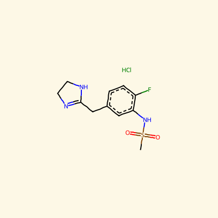 CS(=O)(=O)Nc1cc(CC2=NCCN2)ccc1F.Cl